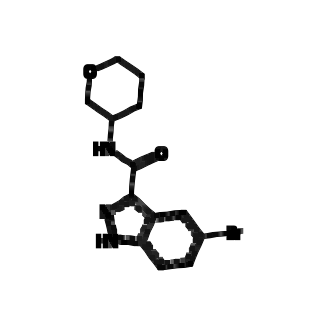 O=C(NC1CCCOC1)c1n[nH]c2ccc(Br)cc12